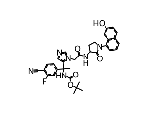 CC(C)(C)OC(=O)NC(C)(c1ccc(C#N)c(F)c1)c1cncn1CC(=O)N[C@H]1CCN(c2cccc3ccc(O)cc23)C1=O